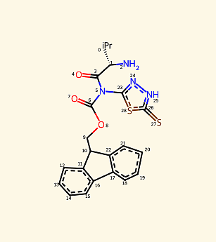 CC(C)[C@H](N)C(=O)N(C(=O)OCC1c2ccccc2-c2ccccc21)c1n[nH]c(=S)s1